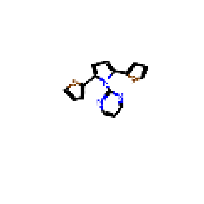 c1cnc(-n2c(-c3cccs3)ccc2-c2cccs2)nc1